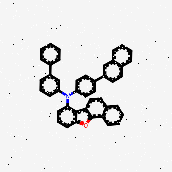 c1ccc(-c2cccc(N(c3ccc(-c4ccc5ccccc5c4)cc3)c3cccc4oc5c6ccccc6ccc5c34)c2)cc1